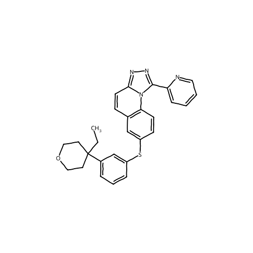 CCC1(c2cccc(Sc3ccc4c(ccc5nnc(-c6ccccn6)n54)c3)c2)CCOCC1